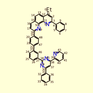 CCc1cc(-c2ccccc2)nc2c1ccc1ccc(-c3ccc(-c4cccc(-c5nc(-c6ccccc6)cc(-c6ccccn6)n5)c4)cc3)nc12